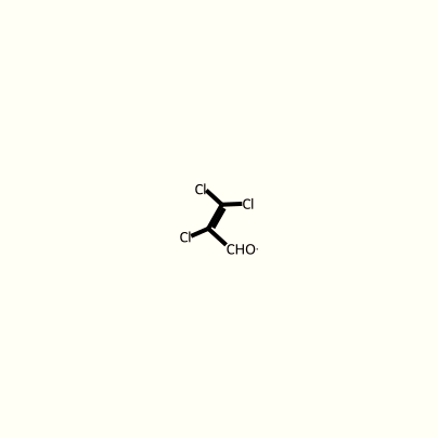 O=[C]C(Cl)=C(Cl)Cl